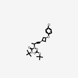 CC(C#C[C@H]1C[C@@H](Oc2ccc(Cl)cc2)C1)N(OC(=O)OC(C)(C)C)C(=O)OC(C)(C)C